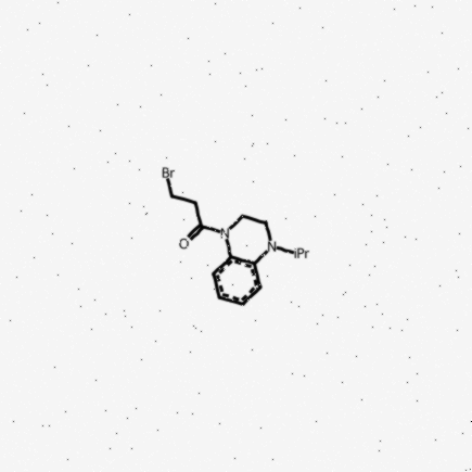 CC(C)N1CCN(C(=O)CCBr)c2ccccc21